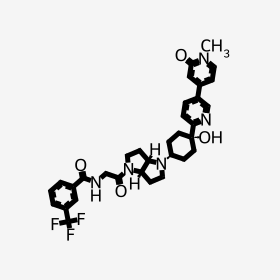 Cn1ccc(-c2ccc([C@]3(O)CC[C@@H](N4CC[C@H]5[C@@H]4CCN5C(=O)CNC(=O)c4cccc(C(F)(F)F)c4)CC3)nc2)cc1=O